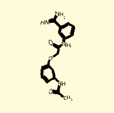 CC(=O)Nc1cccc(OCC(=O)Nc2cccc(C(=N)N)c2)c1